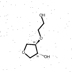 OCCO[C@@H]1COC[C@H]1O